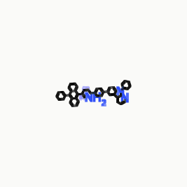 N/C=C(\C=C/Cc1ccc(-c2ccc3c(c2)c2cccnc2n3-c2ccccc2)cc1)c1c2ccccc2c(-c2ccccc2)c2ccccc12